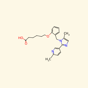 Cc1ccc(-c2ncc(C)n2Cc2ccccc2OCCCCCC(=O)O)cn1